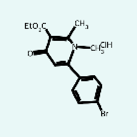 CCOC(=O)c1c(C)n(C)c(-c2ccc(Br)cc2)cc1=O.Cl